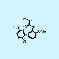 COc1ccccc1NC(=O)CC(C)=O.Nc1ccc(Cl)cc1